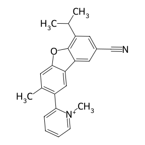 Cc1cc2oc3c(C(C)C)cc(C#N)cc3c2cc1-c1cccc[n+]1C